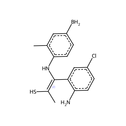 Bc1ccc(N/C(=C(/C)S)c2cc(Cl)ccc2N)c(C)c1